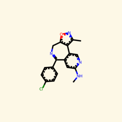 CNc1cc2c(cn1)-c1c(C)noc1CN=C2c1ccc(Cl)cc1